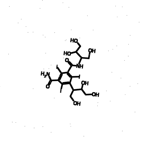 NC(=O)c1c(I)c(C(=O)NC(CO)C(O)CO)c(I)c(C(CO)C(O)CO)c1I